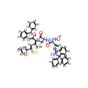 CON=C(C(=O)NC1C(=O)N2C(C(=O)OC(c3ccccc3)c3ccccc3)=C(C=C(S)c3nc(C)co3)CSC12)c1csc(NC(c2ccccc2)(c2ccccc2)c2ccccc2)n1